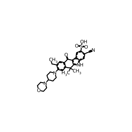 CCc1cc2c(cc1N1CCC(N3CCOCC3)CC1)C(C)(C)c1[nH]c3cc(C#N)c(S(=O)(=O)O)cc3c1C2=O